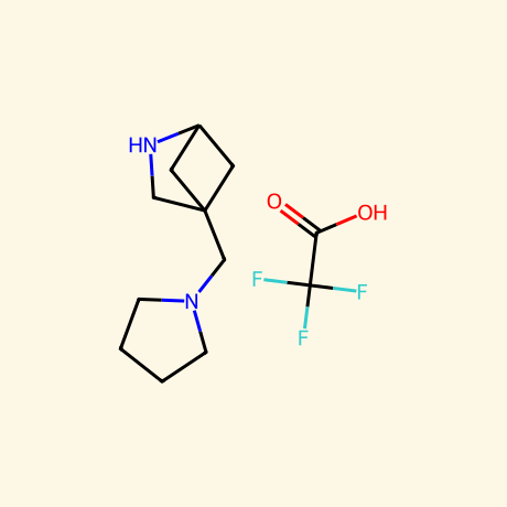 C1CCN(CC23CNC(C2)C3)C1.O=C(O)C(F)(F)F